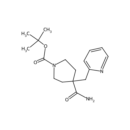 CC(C)(C)OC(=O)N1CCC(Cc2ccccn2)(C(N)=O)CC1